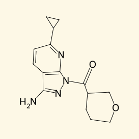 Nc1nn(C(=O)C2CCCOC2)c2nc(C3CC3)ccc12